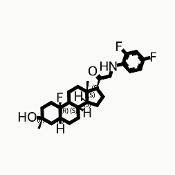 C[C@@]1(O)CC[C@]2(F)C3CC[C@]4(C)[C@@H](C(=O)CNc5ccc(F)cc5F)CC[C@H]4[C@@H]3CC[C@@H]2C1